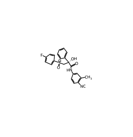 [C-]#[N+]c1ccc(NC(=O)[C@@](O)(CS(=O)(=O)c2ccc(F)cc2)c2ccccc2)cc1C